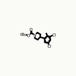 Cc1c(Cl)cc(Cl)cc1C1CCN(C(=O)OC(C)(C)C)CC1